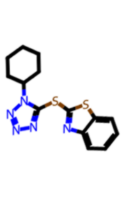 c1ccc2sc(Sc3nnnn3C3CCCCC3)nc2c1